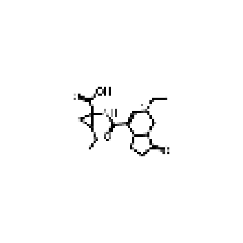 CCC1CC1(NC(=O)C1=C[C@@H](CC)CC2C(=O)CCC12)C(=O)O